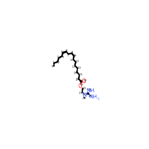 CCCCC/C=C\C/C=C\CCCCCCCC(=O)OCCN(C)C(=N)N